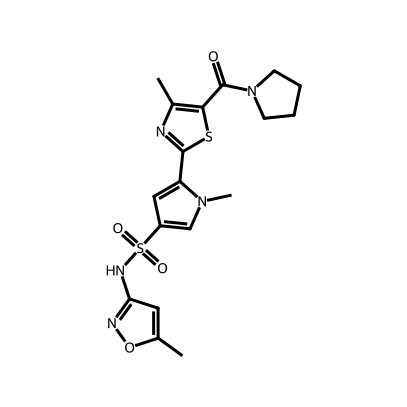 Cc1cc(NS(=O)(=O)c2cc(-c3nc(C)c(C(=O)N4CCCC4)s3)n(C)c2)no1